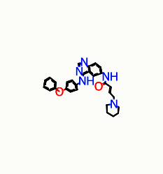 O=C(C=CCN1CCCCC1)Nc1ccc2ncnc(Nc3ccc(Oc4ccccc4)cc3)c2c1